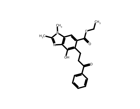 CCOC(=O)c1cc2c(nc(C)n2C)c(O)c1CCC(=O)c1ccccc1